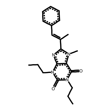 CCCn1c(=O)c2c(nc(C(C)=Cc3ccccc3)n2C)n(CCC)c1=O